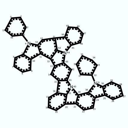 c1ccc(-n2c3ccccc3c3c4c5cc6c7cccc8c9ccc%10c%11ccccc%11n(-c%11ccccc%11)c%10c9n(c6cc5n5c6ccccc6c(cc32)c45)c78)cc1